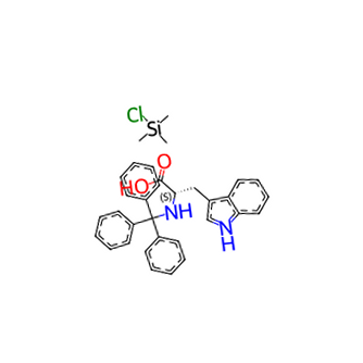 C[Si](C)(C)Cl.O=C(O)[C@H](Cc1c[nH]c2ccccc12)NC(c1ccccc1)(c1ccccc1)c1ccccc1